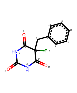 O=C1NC(=O)C(F)(Cc2ccccc2)C(=O)N1